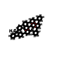 CC1(c2ccccc2)c2ccccc2-c2ccc(-c3ccc(N(c4ccccc4-c4ccc(-c5ccccc5)cc4)c4ccccc4-c4cccc5cccc(-c6ccccc6)c45)cc3)cc21